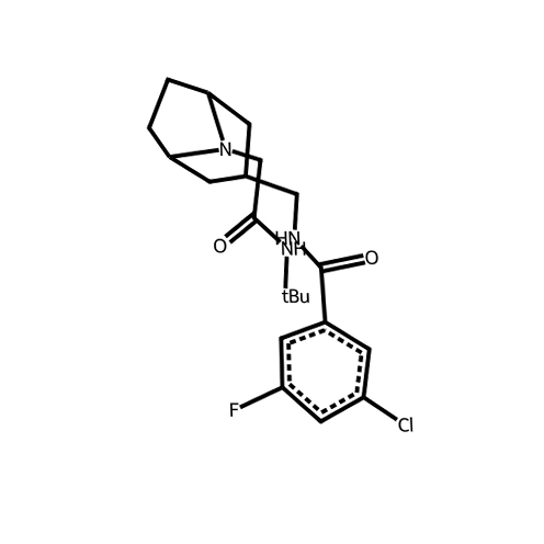 CC(C)(C)NC(=O)CN1C2CCC1CC(CNC(=O)c1cc(F)cc(Cl)c1)C2